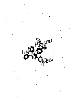 CC(C)(C)OC(=O)NC1(c2ccc(-c3c(C4=CCN(C(=O)OC(C)(C)C)CC4)nc4n3-c3cccnc3Nc3ccccc3-4)cc2)CCC1